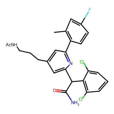 CC(=O)NCCCc1cc(-c2ccc(F)cc2C)nc(C(C(N)=O)c2c(Cl)cccc2Cl)c1